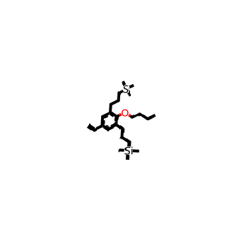 C=Cc1cc(CCC[Si](C)(C)C)c(OCCCC)c(CCC[Si](C)(C)C)c1